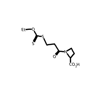 CCOC(=S)SCCC(=O)N1CCC1C(=O)O